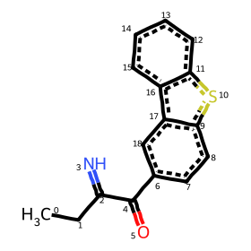 CCC(=N)C(=O)c1ccc2sc3ccccc3c2c1